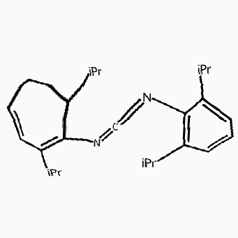 CC(C)C1=C(N=C=Nc2c(C(C)C)cccc2C(C)C)C(C(C)C)CC=C1